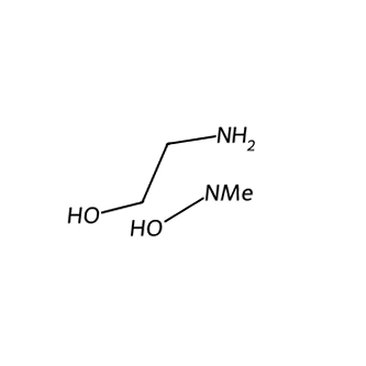 CNO.NCCO